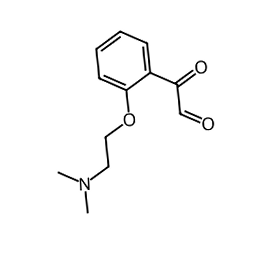 CN(C)CCOc1ccccc1C(=O)C=O